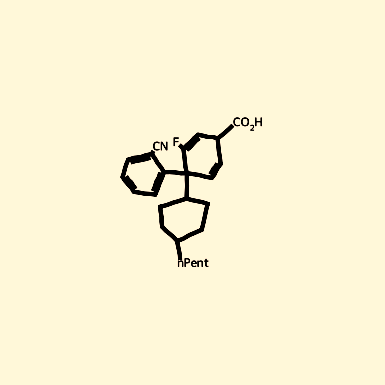 CCCCCC1CCC(C2(c3ccccc3C#N)C=CC(C(=O)O)C=C2F)CC1